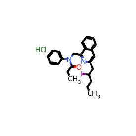 CCCC(I)Cc1cc2ccccc2c(CN(C(=O)CC)c2ccccc2)n1.Cl